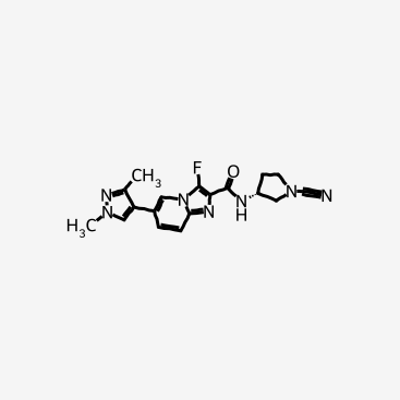 Cc1nn(C)cc1-c1ccc2nc(C(=O)N[C@@H]3CCN(C#N)C3)c(F)n2c1